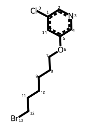 Clc1cncc(OCCCCCCBr)c1